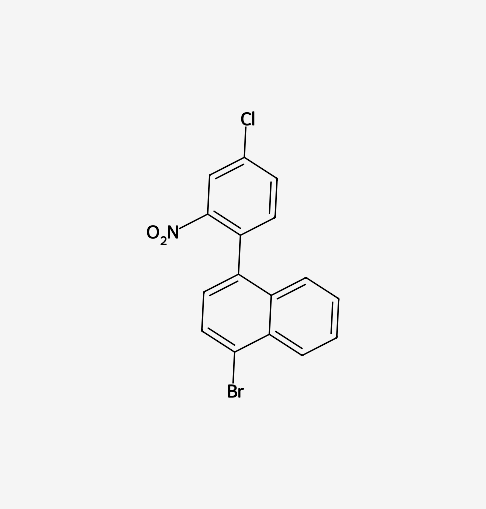 O=[N+]([O-])c1cc(Cl)ccc1-c1ccc(Br)c2ccccc12